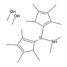 CC1=C(C)C(C)[C]([Ti]([C]2=C(C)C(C)=C(C)C2C)[SiH](C)C)=C1C.CO.CO